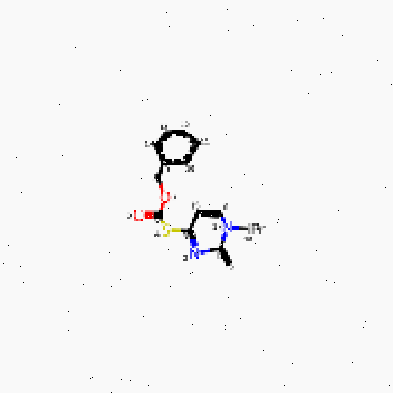 C=C1N=C(SC(=O)OCc2ccccc2)C=CN1C(C)C